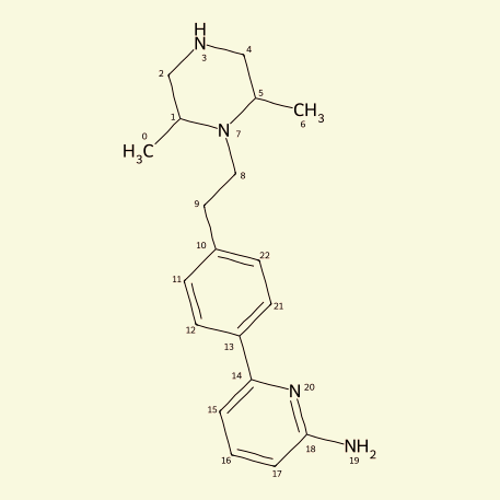 CC1CNCC(C)N1CCc1ccc(-c2cccc(N)n2)cc1